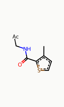 CC(=O)CNC(=O)c1sccc1C